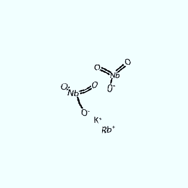 [K+].[O]=[Nb](=[O])[O-].[O]=[Nb](=[O])[O-].[Rb+]